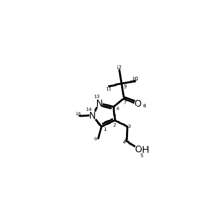 Cc1c(CCO)c(C(=O)C(C)(C)C)nn1C